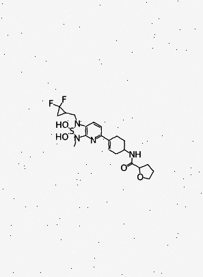 CN1c2nc(C3=CCC(NC(=O)C4CCCO4)CC3)ccc2N(CC2CC2(F)F)S1(O)O